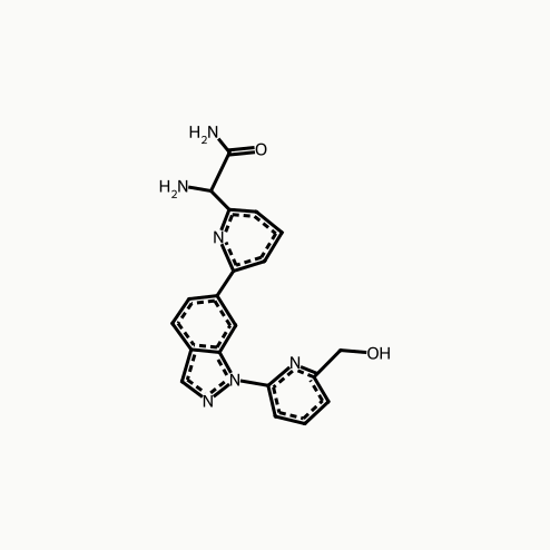 NC(=O)C(N)c1cccc(-c2ccc3cnn(-c4cccc(CO)n4)c3c2)n1